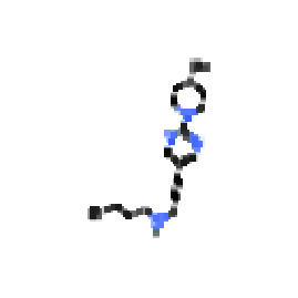 CCC(C)C1CCN(c2ncc(C#CCN(C)CCCC(C)C)cn2)CC1